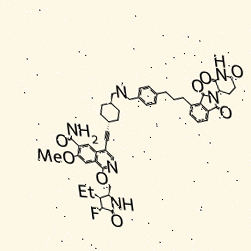 CC[C@@H]1[C@H](F)C(=O)N[C@@H]1COc1ncc(C#C[C@H]2CC[C@H](CN(C)Cc3ccc(CCCc4cccc5c4C(=O)N(C4CCC(=O)NC4=O)C5=O)cc3)CC2)c2cc(C(N)=O)c(OC)cc12